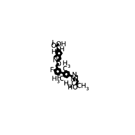 Cc1cc(-c2ncn(CC(C)(C)O)n2)cc(C)c1-c1cc(COc2cc3c(cn2)[C@H]2[C@@H](C3)[C@@H]2C(O)OI)c(F)cc1F